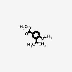 COC(=O)c1ccc(OC)c(C(C)C)c1